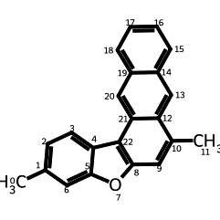 Cc1ccc2c(c1)oc1cc(C)c3cc4ccccc4cc3c12